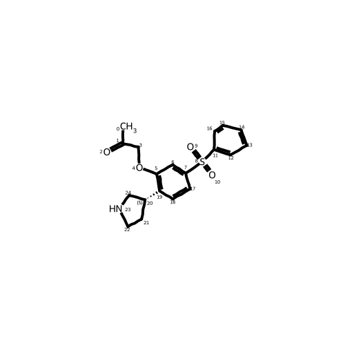 CC(=O)COc1cc(S(=O)(=O)c2ccccc2)ccc1[C@@H]1CCNC1